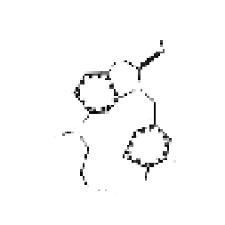 COCCN(C(C)=O)c1ccc2c(c1)N(Cc1ccc(Cl)cc1)/C(=C/C(C)=O)S2